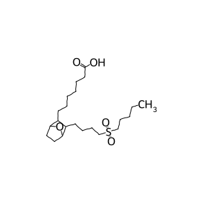 CCCCCS(=O)(=O)CCCCC1C2CCC(O2)C1CCCCCCC(=O)O